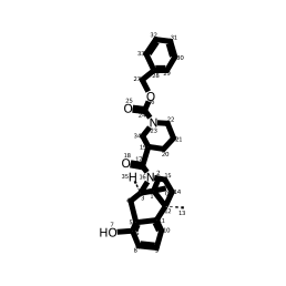 CC1(C)[C@H]2Cc3c(O)cccc3[C@]1(C)CCN2C(=O)C1CCCN(C(=O)OCc2ccccc2)C1